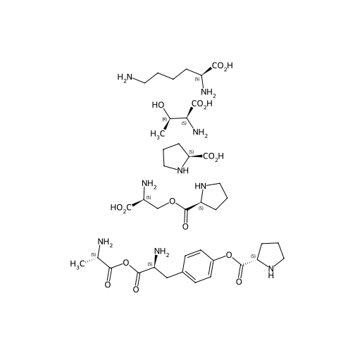 C[C@@H](O)[C@H](N)C(=O)O.C[C@H](N)C(=O)OC(=O)[C@@H](N)Cc1ccc(OC(=O)[C@@H]2CCCN2)cc1.NCCCC[C@H](N)C(=O)O.N[C@@H](COC(=O)[C@@H]1CCCN1)C(=O)O.O=C(O)[C@@H]1CCCN1